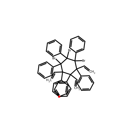 C=CC1(c2ccccc2)C(Br)(c2ccccc2)C(Br)(c2ccccc2)C(Br)(c2ccccc2)C(C=C)(c2ccccc2)C1(C=C)c1ccccc1